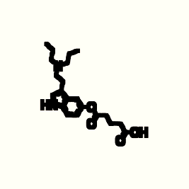 CCCN(CCC)CCc1c[nH]c2ccc(OC(=O)CCCC(=O)O)cc12